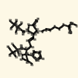 COC(=O)CCCC=CC[C@H]1C(=O)C[C@@H](O[Si](C)(C)C(C)(C)C)[C@@H]1C=CCC(O[Si](C)(C)C(C)(C)C)C1(c2cccs2)CCC1C